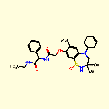 CCCCC1(CCCC)CN(C2CC=CCC2)c2cc(SC)c(OCC(=O)NC(C(=O)NCC(=O)O)c3ccccc3)cc2[S+]([O-])N1